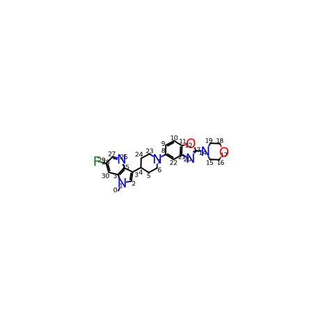 Cn1cc(C2CCN(c3ccc4oc(N5CCOCC5)nc4c3)CC2)c2ncc(F)cc21